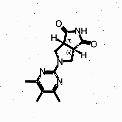 Cc1nc(N2C[C@@H]3C(=O)NC(=O)[C@@H]3C2)nc(C)c1C